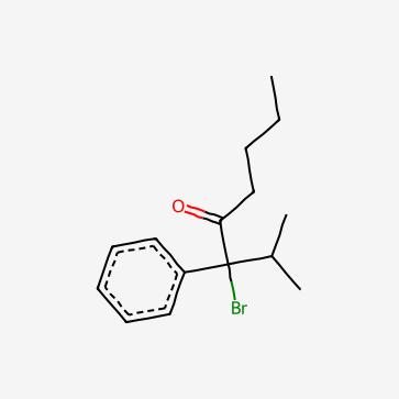 CCCCC(=O)C(Br)(c1ccccc1)C(C)C